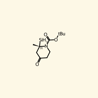 CC(C)(C)OC(=O)N1CCC(=O)C[C@]1(C)[SiH3]